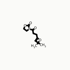 CC1(C)C=C(CCC(=O)N2CCOC2=O)O1